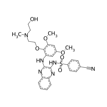 COc1cc(Nc2nc3ccccc3nc2NS(=O)(=O)c2ccc(C#N)cc2)c(OCCN(C)CCO)c(OC)c1